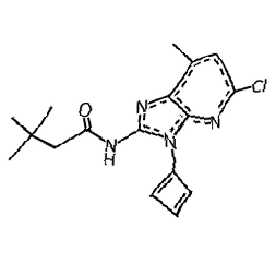 Cc1cc(Cl)nc2c1nc(NC(=O)CC(C)(C)C)n2C1=CC=C1